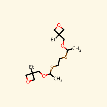 CCC1(COC(C)SCCSC(C)OCC2(CC)COC2)COC1